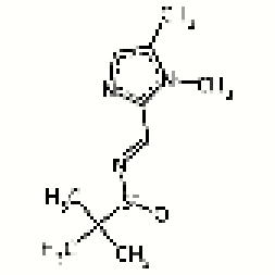 Cc1cnc(C=N[S+]([O-])C(C)(C)C)n1C